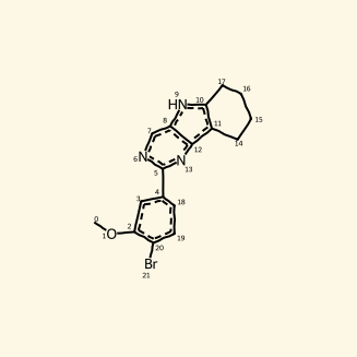 COc1cc(-c2ncc3[nH]c4c(c3n2)CCCC4)ccc1Br